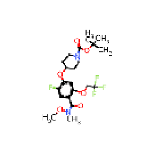 CON(C)C(=O)c1cc(F)c(OC2CCN(C(=O)OC(C)(C)C)CC2)cc1OCC(F)(F)F